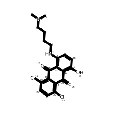 CN(C)CCCCNc1ccc(O)c2c1C(=O)c1c(Cl)ccc(Cl)c1C2=O